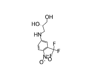 O=[N+]([O-])c1ccc(NC[C@H](O)CO)cc1C(F)(F)F